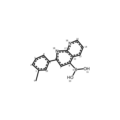 Cc1cccc(-c2cc(B(O)O)c3cccnc3n2)c1